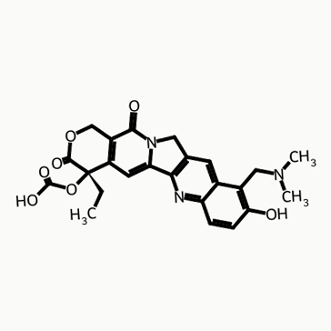 CC[C@@]1(OC(=O)O)C(=O)OCc2c1cc1n(c2=O)Cc2cc3c(CN(C)C)c(O)ccc3nc2-1